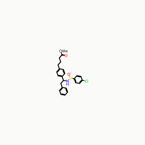 COC(=O)CCCc1ccc(C(Cc2ccccc2)N[S+]([O-])c2ccc(Cl)cc2)cc1